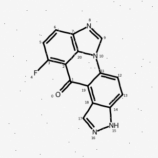 O=c1c2c(F)ccc3ncn(c4ccc5[nH]ncc5c14)c32